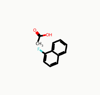 CC(=O)O.Fc1cccc2ccccc12